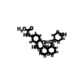 CC(=O)Nc1ccc(O)c(Nc2ncc3cccc(OC4CCNCC4)c3n2)c1